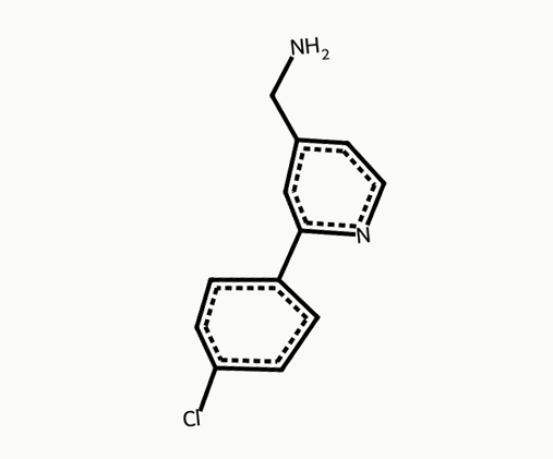 NCc1ccnc(-c2ccc(Cl)cc2)c1